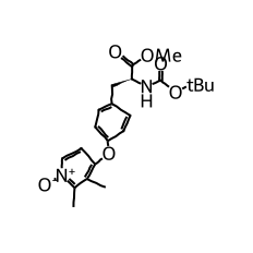 COC(=O)[C@H](Cc1ccc(Oc2cc[n+]([O-])c(C)c2C)cc1)NC(=O)OC(C)(C)C